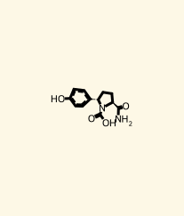 NC(=O)[C@@H]1CC[C@@H](c2ccc(O)cc2)N1C(=O)O